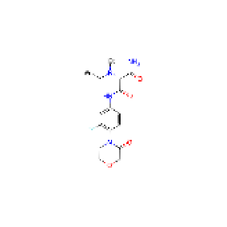 CCN(CC(C)C)[C@H](C(N)=O)C(=O)Nc1ccc(N2CCOCC2=O)c(F)c1